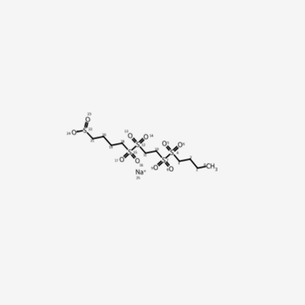 CCCCS(=O)(=O)S(=O)(=O)CCS(=O)(=O)S(=O)(=O)CCCCS(=O)[O-].[Na+]